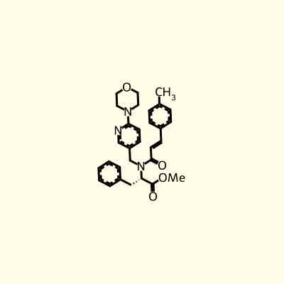 COC(=O)[C@H](Cc1ccccc1)N(Cc1ccc(N2CCOCC2)nc1)C(=O)C=Cc1ccc(C)cc1